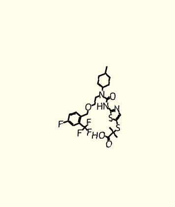 CC1CCC(N(CCOCc2ccc(F)cc2C(F)(F)F)C(=O)Nc2ncc(SC(C)(C)C(=O)O)s2)CC1